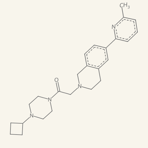 Cc1cccc(-c2ccc3c(c2)CCN(CC(=O)N2CCN(C4CCC4)CC2)C3)n1